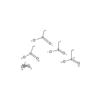 CC(=O)[O-].CC(=O)[O-].CC(=O)[O-].CC(=O)[O-].[GeH2+2].[Mn+2]